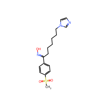 CS(=O)(=O)c1ccc(C(CCCCCCn2ccnc2)=NO)cc1